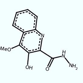 COc1c(O)c(C(=O)NN)nc2ccccc12